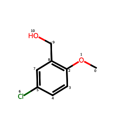 COc1ccc(Cl)cc1[CH]O